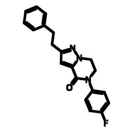 O=C1c2cc(CCc3ccccc3)nn2CCN1c1ccc(F)cc1